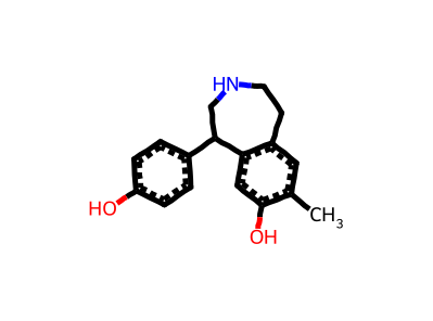 Cc1cc2c(cc1O)C(c1ccc(O)cc1)CNCC2